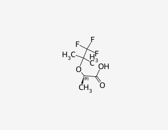 C[C@@H](OC(C)(C)C(F)(F)F)C(=O)O